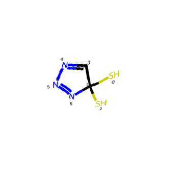 SC1(S)C=NN=N1